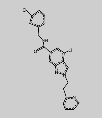 O=C(NCc1cccc(Cl)c1)c1cc(Cl)c2cn(CCc3ccccn3)nc2c1